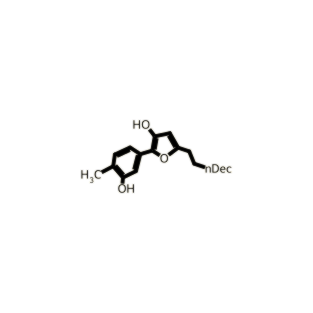 CCCCCCCCCCCCc1cc(O)c(-c2ccc(C)c(O)c2)o1